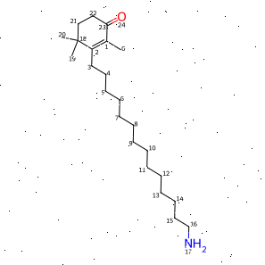 CC1=C(CCCCCCCCCCCCCCN)C(C)(C)CCC1=O